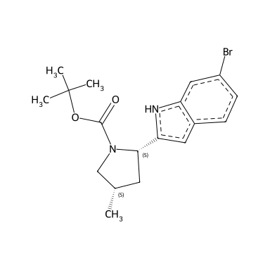 C[C@H]1C[C@@H](c2cc3ccc(Br)cc3[nH]2)N(C(=O)OC(C)(C)C)C1